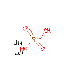 O=S(=O)(O)O.[LiH].[LiH]